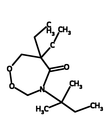 CCC1(CC)COOCN(C(C)(C)CC)C1=O